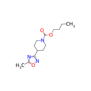 CCCCOC(=O)N1CCC(c2noc(C)n2)CC1